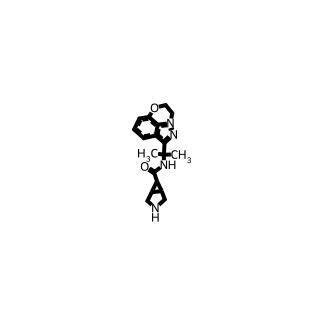 CC(C)(NC(=O)C1C2CNCC21)c1nn2c3c(cccc13)OCC2